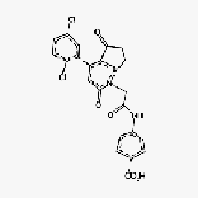 O=C(Cn1c2c(c(-c3cc(Cl)ccc3Cl)cc1=O)C(=O)CC2)Nc1ccc(C(=O)O)cc1